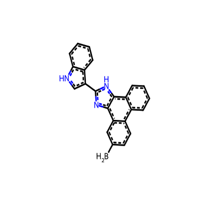 Bc1ccc2c3ccccc3c3[nH]c(-c4c[nH]c5ccccc45)nc3c2c1